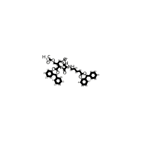 CC(=O)OCC1=C(C(=O)OC(c2ccccc2)c2ccccc2)N2C(=O)[C@@H](NCCCCC(=O)OC(c3ccccc3)c3ccccc3)[C@@H]2[S+]([O-])C1